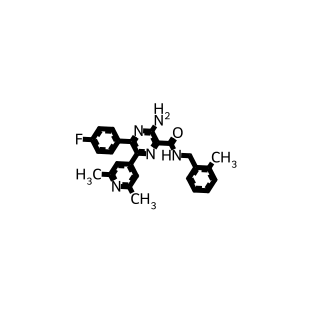 Cc1cc(-c2nc(C(=O)NCc3ccccc3C)c(N)nc2-c2ccc(F)cc2)cc(C)n1